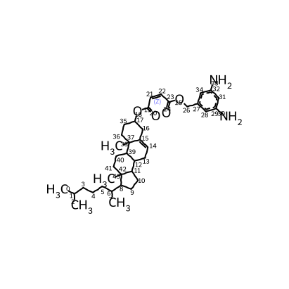 CC(C)CCCC(C)C1CCC2C3CC=C4CC(OC(=O)/C=C\C(=O)OCc5cc(N)cc(N)c5)CCC4(C)C3CCC12C